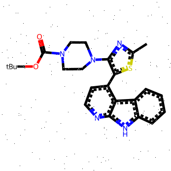 Cc1nc(N2CCN(C(=O)OC(C)(C)C)CC2)c(-c2ccnc3[nH]c4ccccc4c23)s1